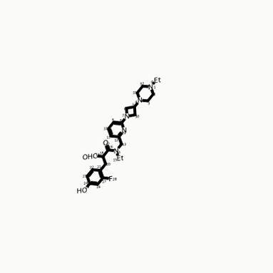 CCN1CCN(C2CN(c3cccc(CN(CC)C(=O)C(C=O)Cc4ccc(O)cc4F)n3)C2)CC1